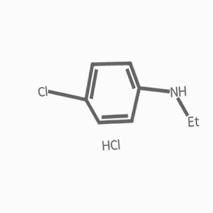 CCNc1ccc(Cl)cc1.Cl